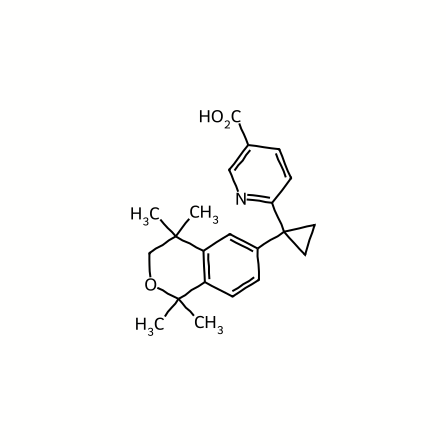 CC1(C)COC(C)(C)c2ccc(C3(c4ccc(C(=O)O)cn4)CC3)cc21